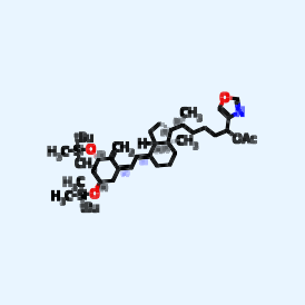 C=C1/C(=C\C=C2/CCC[C@]3(C)[C@@H]([C@H](C)CCCC(OC(C)=O)c4cocn4)CC[C@@H]23)C[C@@H](O[Si](C)(C)C(C)(C)C)C[C@@H]1O[Si](C)(C)C(C)(C)C